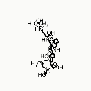 CCN1CCN(CC(=O)O)CCN(CC(=O)O)CC(Cc2ccc(C(=O)NC(Cc3ccccc3)C(=O)NCC(=O)NC(CCCCNC(=O)OC(C)(C)C)C(=O)O)cc2)N(CC(=O)O)CC1